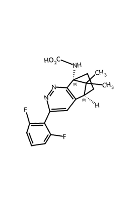 CC1(C)[C@H]2CC[C@]1(NC(=O)O)c1nnc(-c3c(F)cccc3F)cc12